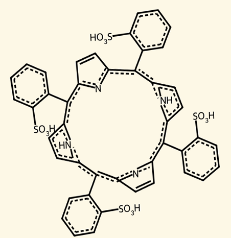 O=S(=O)(O)c1ccccc1-c1c2nc(c(-c3ccccc3S(=O)(=O)O)c3ccc([nH]3)c(-c3ccccc3S(=O)(=O)O)c3nc(c(-c4ccccc4S(=O)(=O)O)c4ccc1[nH]4)C=C3)C=C2